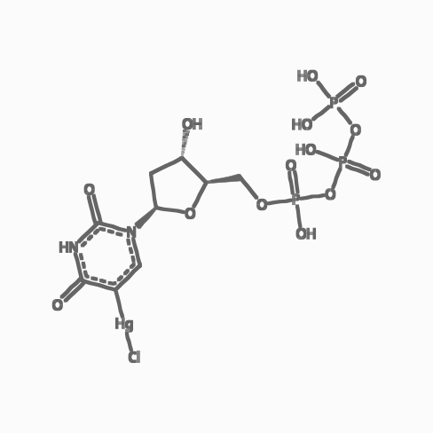 O=c1[nH]c(=O)n([C@H]2C[C@H](O)[C@@H](COP(=O)(O)OP(=O)(O)OP(=O)(O)O)O2)c[c]1[Hg][Cl]